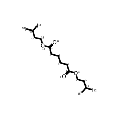 O=C(CCCCC(=O)OCCC(I)I)OCCC(I)I